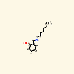 CCCCC=CCN=Cc1ccccc1O